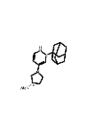 CN[C@H]1CCN(C2=CN(C34CC5CC(CC(C5)C3)C4)NC=C2)C1